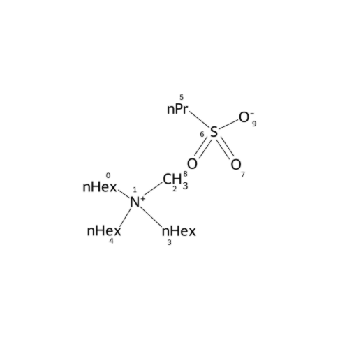 CCCCCC[N+](C)(CCCCCC)CCCCCC.CCCS(=O)(=O)[O-]